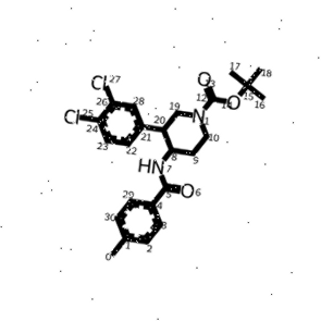 Cc1ccc(C(=O)NC2CCN(C(=O)OC(C)(C)C)CC2c2ccc(Cl)c(Cl)c2)cc1